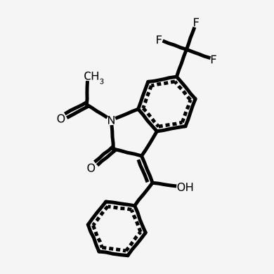 CC(=O)N1C(=O)/C(=C(/O)c2ccccc2)c2ccc(C(F)(F)F)cc21